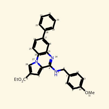 CCOC(=O)c1cc2c(NCc3ccc(OC)cc3)nc3cc(-c4ccccc4)ccc3n2c1